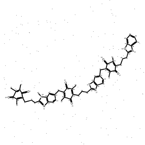 CC1=C(C)C(=O)C(CCCc2nc3ccc(CC4=C(C)C(=O)C(CCCc5nc6ccc(CC7=C(C)C(=O)C(CCCc8nc9ccccc9o8)=C(C)C7=O)cc6s5)=C(C)C4=O)cc3n2C)=C(C)C1=O